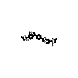 CC1CNC(c2ccc3c(-c4ccc(-c5cn6ccc(C7=NC(C)CN7)cc6n5)cc4)c[nH]c3c2)=N1